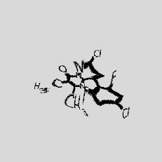 Cc1nc2c(-c3c(F)cc(Cl)cc3F)cc(Cl)nn2c(=O)c1C